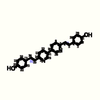 Oc1ccc(/C=C/c2ccc(-c3ccc(/C=C/c4ccc(O)cc4)nc3)cn2)cc1